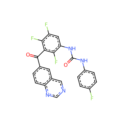 O=C(Nc1ccc(F)cc1)Nc1cc(F)c(F)c(C(=O)c2ccc3ncncc3c2)c1F